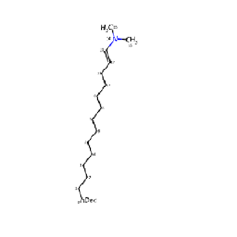 CCCCCCCCCCCCCCCCCCCCCC=CN(C)C